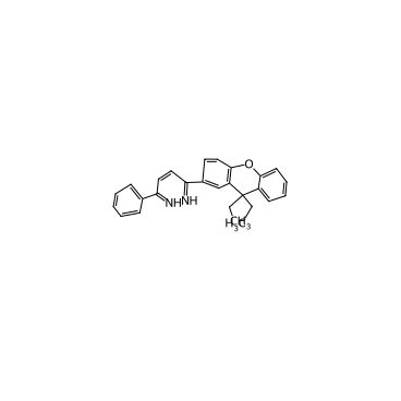 CCC1(CC)c2ccccc2Oc2ccc(C(=N)/C=C\C(=N)c3ccccc3)cc21